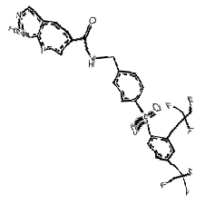 O=C(NCc1ccc(S(=O)(=O)c2ccc(C(F)(F)F)cc2C(F)(F)F)cc1)c1cnc2[nH]ncc2c1